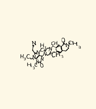 CCn1c(CC#N)nc2c(N3C[C@@H](C)N(C(C)c4ccc5c(c4)C(=O)N(C)CC5)C[C@@H]3C)nc(=O)n(C)c21